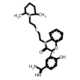 CC1CCCC(C)N1CCCCCN1C(=O)[C@H](c2cc(C(=N)N)ccc2O)Oc2ccccc21